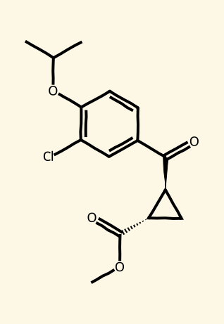 COC(=O)[C@H]1C[C@@H]1C(=O)c1ccc(OC(C)C)c(Cl)c1